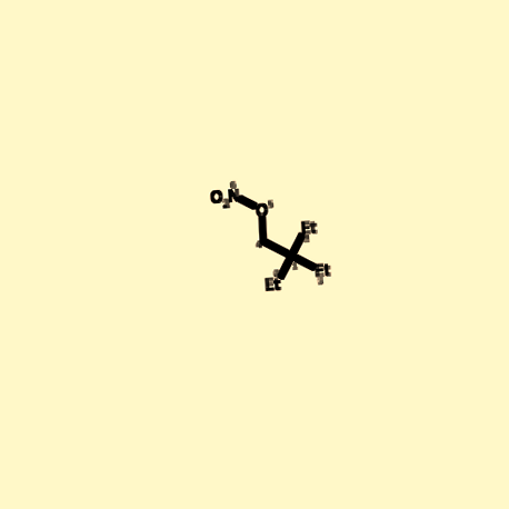 CCC(CC)(CC)CO[N+](=O)[O-]